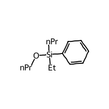 CCCO[Si](CC)(CCC)c1ccccc1